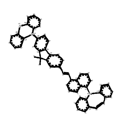 CC1(C)c2cc(/C=C/c3cccc4c(N5c6ccccc6C=Cc6ccccc65)cccc34)ccc2-c2ccc(N3c4ccccc4Oc4ccccc43)cc21